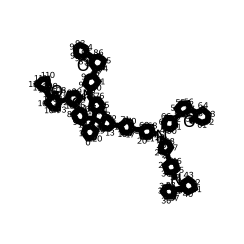 c1ccc(C2(c3ccccc3)c3ccc(-c4ccc(-c5ccc(N(c6ccc(-c7ccc(-n8c9ccccc9c9ccccc98)cc7)cc6)c6ccc(-c7cccc8c7oc7ccccc78)cc6)cc5)cc4)cc3-c3ccc(N(c4ccc(-c5cccc6c5oc5ccccc56)cc4)c4ccc(-c5cccc6c5oc5ccccc56)cc4)cc32)cc1